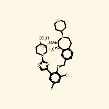 CO[C@@H]1CN(c2nc(-c3cc(F)cc(C)c3OCc3ccc4c(c3)[C@@H](C)CN(C3CCOCC3)CC4)cs2)CC[C@@H]1C(=O)O